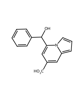 O=C(O)c1cc(C(O)c2ccccc2)n2cccc2c1